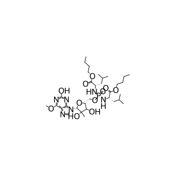 CCCCOC(=O)[C@H](CC(C)C)NP(=O)(N[C@@H](CC(C)C)C(=O)OCCCC)OC[C@H]1O[C@@H](n2cnc3c(OC)nc(O)nc32)C(C)(O)C1O